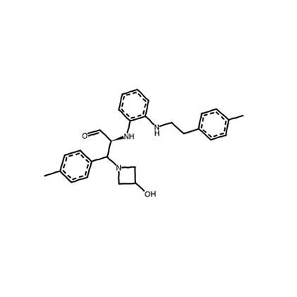 Cc1ccc(CCNc2ccccc2N[C@H](C=O)C(c2ccc(C)cc2)N2CC(O)C2)cc1